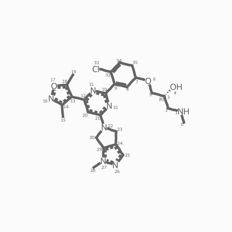 CNC[C@@H](O)COC1C=C(c2nc(-c3c(C)noc3C)cc(N3Cc4cnn(C)c4C3)n2)C(Cl)=CC1